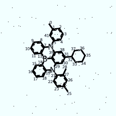 Cc1cccc(N2c3ccccc3B3c4ccccc4N(c4ccc(C)cc4C)c4cc(C5CCCCC5)cc2c43)c1